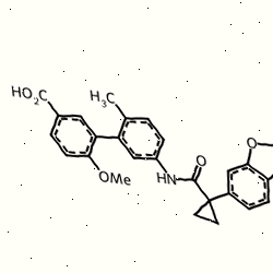 COc1ccc(C(=O)O)cc1-c1cc(NC(=O)C2(c3ccc4c(c3)OCO4)CC2)ccc1C